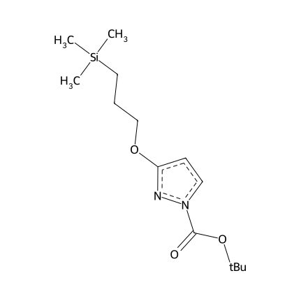 CC(C)(C)OC(=O)n1ccc(OCCC[Si](C)(C)C)n1